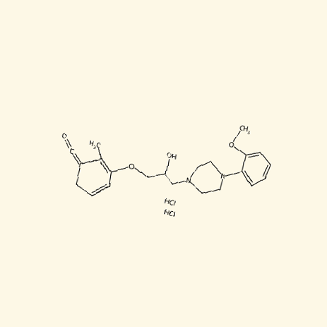 COc1ccccc1N1CCN(CC(O)COC2=C(C)C(=C=O)CC=C2)CC1.Cl.Cl